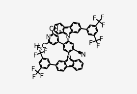 Cc1cc(-c2cc(-n3c4ccccc4c4ccc(-c5cc(C(F)(F)F)cc(C(F)(F)F)c5)cc43)c(C#N)cc2-n2c3ccccc3c3ccc(-c4cc(C(F)(F)F)cc(C(F)(F)F)c4)cc32)cc(C)n1